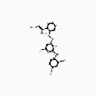 CO/C=C(\C(=O)O)c1ccccc1COc1cc(C(F)(F)F)nc(Nc2ccc(Cl)cc2Cl)n1